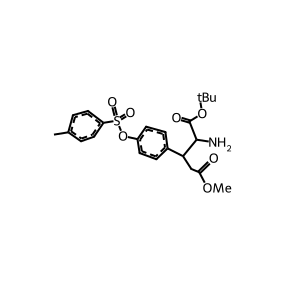 COC(=O)CC(c1ccc(OS(=O)(=O)c2ccc(C)cc2)cc1)C(N)C(=O)OC(C)(C)C